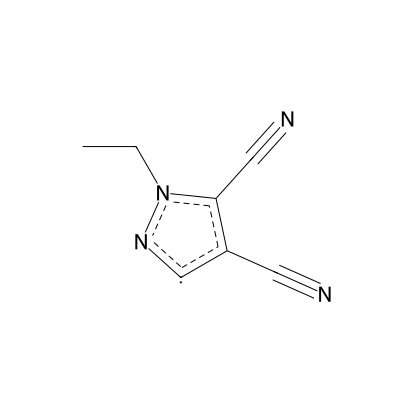 CCn1n[c]c(C#N)c1C#N